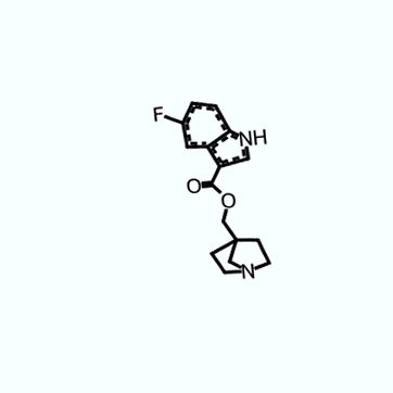 O=C(OCC12CCN(CC1)C2)c1c[nH]c2ccc(F)cc12